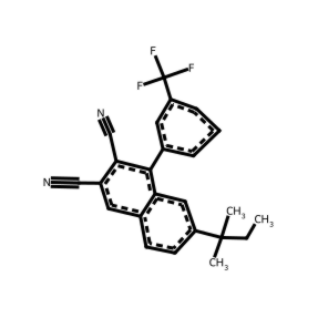 CCC(C)(C)c1ccc2cc(C#N)c(C#N)c(-c3cccc(C(F)(F)F)c3)c2c1